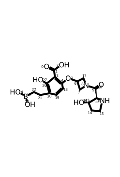 O=C(O)c1c(OC2CN(C(=O)[C@H]3NCC[C@H]3O)C2)ccc(CCB(O)O)c1O